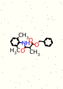 Cc1cccc(C)c1NC(=O)C(C)C(=O)OCc1ccccc1